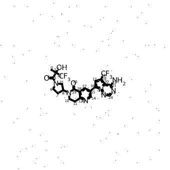 CC(O)(C(=O)N1CCC(N2CCc3ncc(-c4cc(C(F)(F)F)c5c(N)ncnn45)cc3C2=O)C1)C(F)(F)F